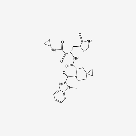 Cn1c(C(=O)N2CCC3(CC3)C[C@H]2C(=O)N[C@@H](C[C@@H]2CCNC2=O)C(=O)C(=O)NC2CC2)nc2ccccc21